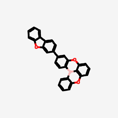 c1ccc2c(c1)Oc1cccc3c1B2c1ccc(-c2ccc4c(c2)oc2ccccc24)cc1O3